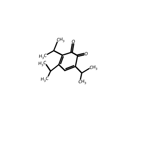 CC(C)C1=CC(C(C)C)=C(C(C)C)C(=O)C1=O